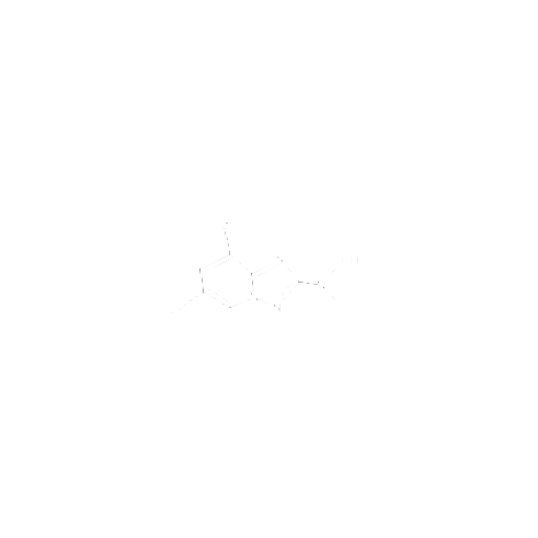 CN(C)c1nc2c(Br)cc(F)cn2n1